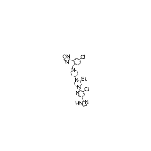 CC[C@H]1CN(c2ncc(-c3ncc[nH]3)cc2Cl)CCN1C1CCN(Cc2ccc(Cl)cc2-c2ncon2)CC1